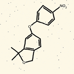 CC1(C)OCc2ccc(Oc3ccc([N+](=O)[O-])cc3)cc21